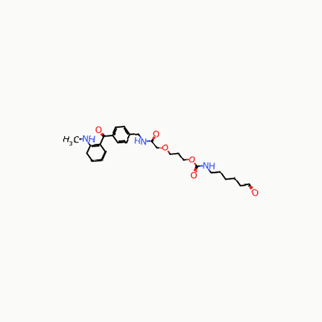 CNC1=C(C(=O)c2ccc(CNC(=O)COCCCOC(=O)NCCCCCC=O)cc2)CCCC1